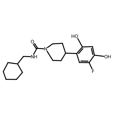 O=C(NCC1CCCCC1)N1CCC(c2cc(F)c(O)cc2O)CC1